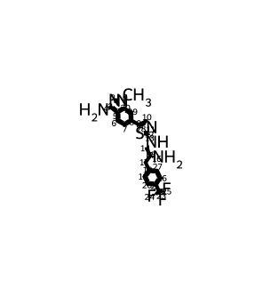 Cn1nc(N)c2ccc(-c3cnc(NC[C@H](N)Cc4ccc(C(F)(F)F)cc4)s3)cc21